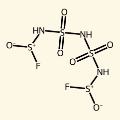 O=S(=O)(N[S+]([O-])F)NS(=O)(=O)N[S+]([O-])F